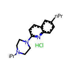 CCCc1ccc2nc(N3CCN(C(C)C)CC3)ccc2c1.Cl